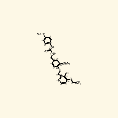 COc1ccc(NC(=O)NCc2ccc(OCc3nccc(OCC(F)(F)F)c3C)c(OC)c2)cc1